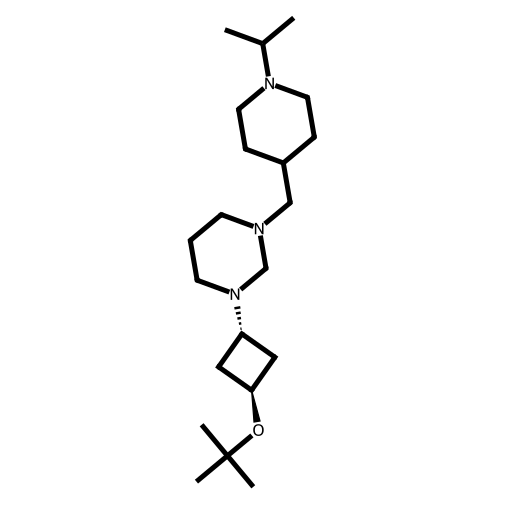 CC(C)N1CCC(CN2CCCN([C@H]3C[C@H](OC(C)(C)C)C3)C2)CC1